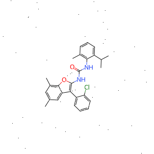 Cc1cc(C)c2oc(NC(=O)Nc3c(C)cccc3C(C)C)c(-c3ccccc3Cl)c2c1